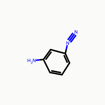 N#[N+]c1cccc(N)c1